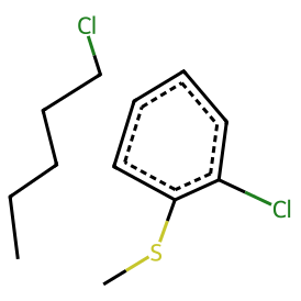 CCCCCCl.CSc1ccccc1Cl